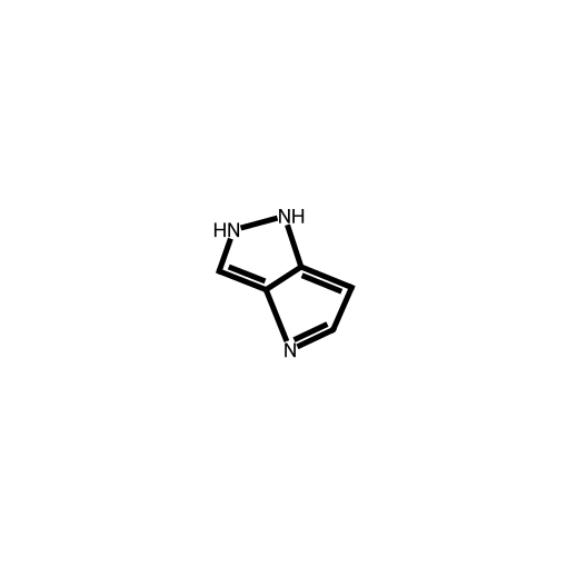 c1cc2[nH][nH]cc-2n1